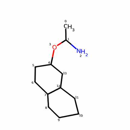 CC(N)OC1CCC2CCCCC2C1